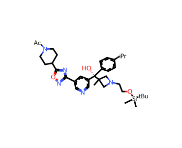 CC(=O)N1CCC(c2nc(-c3cncc([C@@](O)(c4ccc(C(C)C)cc4)C4(C)CN(CCO[Si](C)(C)C(C)(C)C)C4)c3)no2)CC1